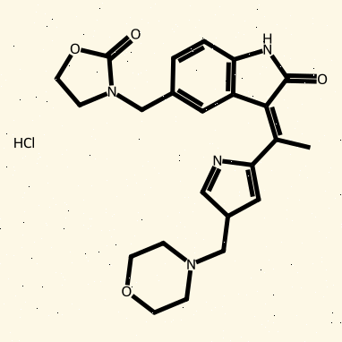 CC(C1=CC(CN2CCOCC2)C=N1)=C1C(=O)Nc2ccc(CN3CCOC3=O)cc21.Cl